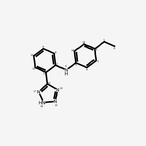 CCc1ccc(Nc2ccccc2-c2nn[nH]n2)cc1